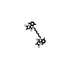 Cc1ccc(C)c2c1N(CCCCCCCN1C(=O)C3(CC(C)C(=O)N3)c3c(C)ccc(C)c31)C(=O)C21CC(C)C(=O)N1